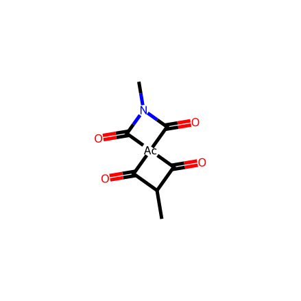 CC1[C](=O)[Ac]2([C]1=O)[C](=O)N(C)[C]2=O